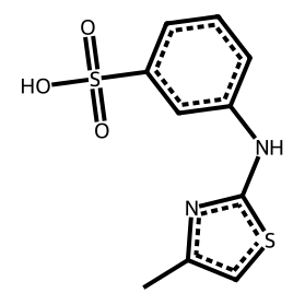 Cc1csc(Nc2cccc(S(=O)(=O)O)c2)n1